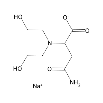 NC(=O)CC(C(=O)[O-])N(CCO)CCO.[Na+]